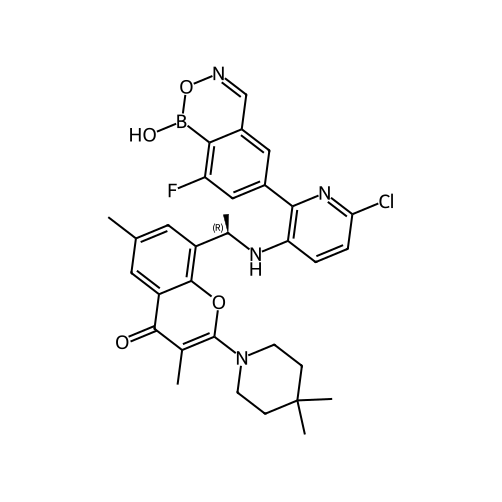 Cc1cc([C@@H](C)Nc2ccc(Cl)nc2-c2cc(F)c3c(c2)C=NOB3O)c2oc(N3CCC(C)(C)CC3)c(C)c(=O)c2c1